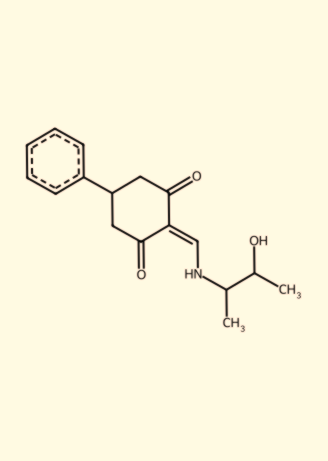 CC(O)C(C)NC=C1C(=O)CC(c2ccccc2)CC1=O